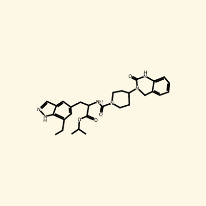 CCc1cc(CC(NC(=O)N2CCC(N3Cc4ccccc4NC3=O)CC2)C(=O)OC(C)C)cc2cn[nH]c12